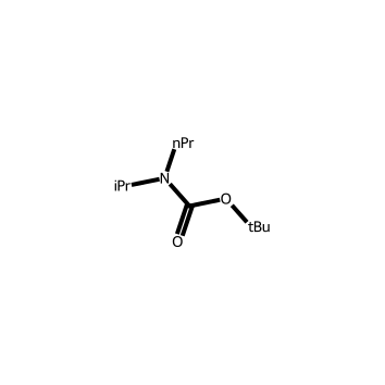 CCCN(C(=O)OC(C)(C)C)C(C)C